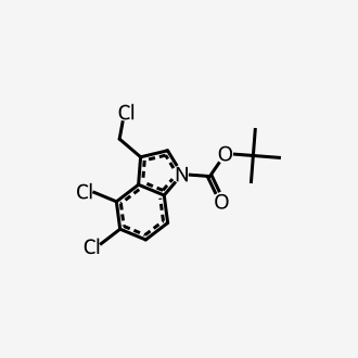 CC(C)(C)OC(=O)n1cc(CCl)c2c(Cl)c(Cl)ccc21